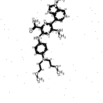 CNc1nc(Nc2ccc(N(CCOC)CCOC)cc2)c(C(N)=O)nc1-c1cncc2c1ncn2C